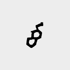 S=Cc1[c]c2ccccc2cc1